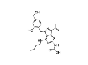 C=C(C)c1nn(Cc2ccc(CO)cc2OC)c2c(NCCCC)nc(NC(=O)O)nc12